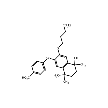 CCOC(=O)CCCOc1cc2c(cc1[Se]c1ccc(C(=O)O)cn1)C(C)(C)CCC2(C)C